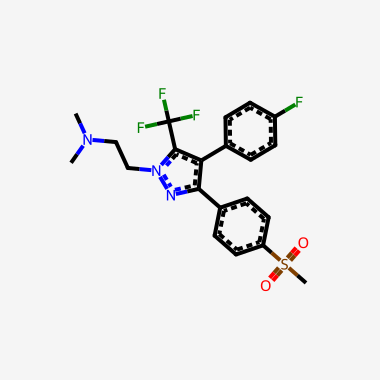 CN(C)CCn1nc(-c2ccc(S(C)(=O)=O)cc2)c(-c2ccc(F)cc2)c1C(F)(F)F